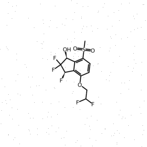 CS(=O)(=O)c1ccc(OCC(F)F)c2c1[C@H](O)C(F)(F)[C@@H]2F